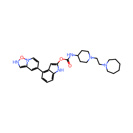 O=C(NC1CCN(CCN2CCCCCC2)CC1)Oc1cc2c(C3=CC4=CNON4C=C3)cccc2[nH]1